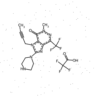 CC#CCn1c(N2CCNCC2)nc2c(C(F)(F)F)nn(C)c(=O)c21.O=C(O)C(F)(F)F